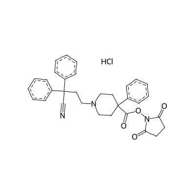 Cl.N#CC(CCN1CCC(C(=O)ON2C(=O)CCC2=O)(c2ccccc2)CC1)(c1ccccc1)c1ccccc1